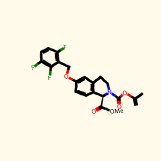 C=C(C)OC(=O)N1CCc2cc(OCc3c(F)ccc(F)c3F)ccc2[C@@H]1C(=O)OC